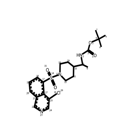 CC(NC(=O)OC(C)(C)C)C1CCN(S(=O)(=O)c2cccc3cncc(Cl)c23)CC1